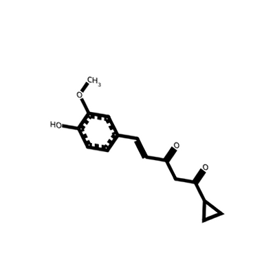 COc1cc(/C=C/C(=O)CC(=O)C2CC2)ccc1O